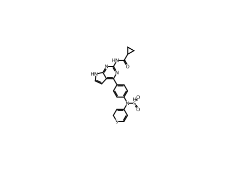 O=C(Nc1nc(-c2ccc(N(C3=CCSC=C3)[SH](=O)=O)cc2)c2cc[nH]c2n1)C1CC1